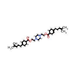 CC(C)=CCCC1=CCC(C(=O)OCCN2CCN(CCOC(=O)C3CC=C(CCC=C(C)C)CC3)CC2)CC1